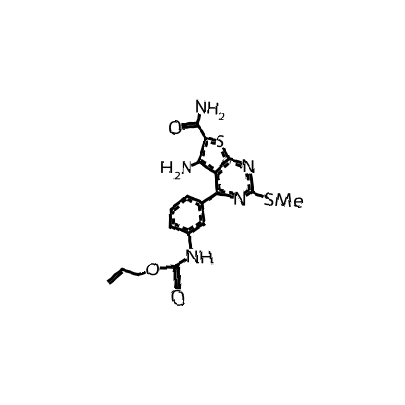 C=CCOC(=O)Nc1cccc(-c2nc(SC)nc3sc(C(N)=O)c(N)c23)c1